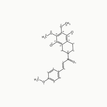 COc1ccc(C=CC(=O)N2CCc3c(Cl)c(OC)c(OC)c(Cl)c3C2)cc1